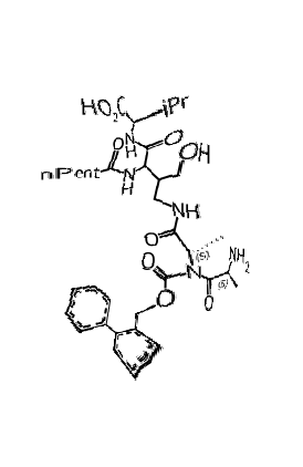 CCCCCC(=O)NC(C(=O)NC(C(=O)O)C(C)C)C(CO)CNC(=O)[C@H](C)N(C(=O)OCc1ccccc1-c1ccccc1)C(=O)[C@H](C)N